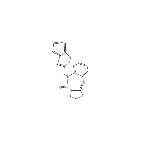 O=C1C2CCCC2=Nc2ccccc2N1Cc1ccc2ccccc2c1